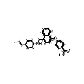 CCC[C@H]1CC[C@H](NCc2ccc(Oc3ccc(C(N)=O)cn3)c3ccccc23)CC1